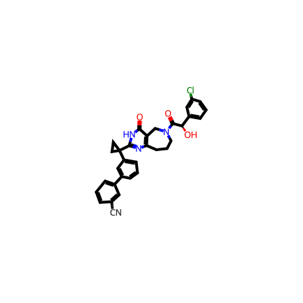 N#Cc1cccc(-c2cccc(C3(c4nc5c(c(=O)[nH]4)CN(C(=O)[C@H](O)c4cccc(Cl)c4)CCC5)CC3)c2)c1